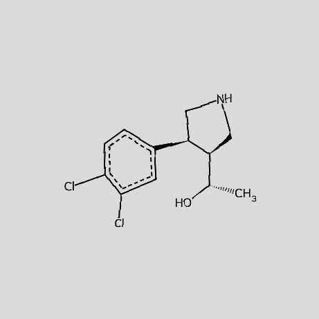 C[C@H](O)[C@@H]1CNC[C@@H]1c1ccc(Cl)c(Cl)c1